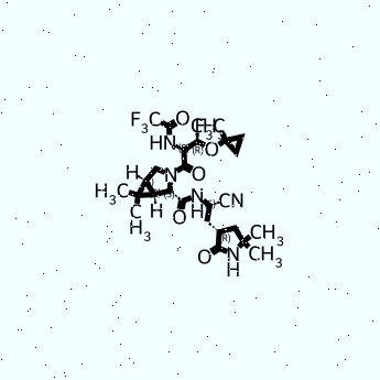 C[C@@H](OC1(C(F)(F)F)CC1)[C@H](NC(=O)C(F)(F)F)C(=O)N1C[C@H]2[C@@H]([C@H]1C(=O)N[C@H](C#N)C[C@@H]1CC(C)(C)NC1=O)C2(C)C